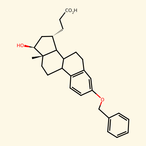 C[C@]12CCC3c4ccc(OCc5ccccc5)cc4CCC3C1[C@@H](CCC(=O)O)C[C@@H]2O